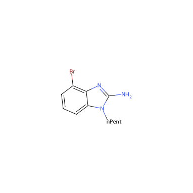 CCCCCn1c(N)nc2c(Br)cccc21